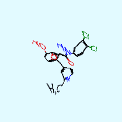 Cc1cc(-c2c(C(=O)Nc3ccc(Cl)c(Cl)c3)c3oc2cc3O)ccn1